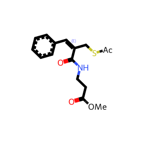 COC(=O)CCNC(=O)/C(=C\c1ccccc1)CSC(C)=O